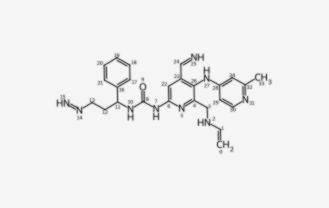 C=CNCc1nc(NC(=O)NC(CCN=N)c2ccccc2)cc(C=N)c1Nc1ccnc(C)c1